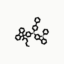 C=C(/C=C\C=C/C)C1(c2ccc(N(c3ccc(-c4ccccc4)cc3)c3ccc4c5ccccc5n(-c5ccccc5)c4c3)cc2)c2ccccc2-c2ccccc21